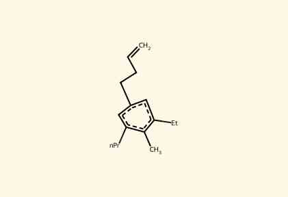 C=CCCc1cc(CC)c(C)c(CCC)c1